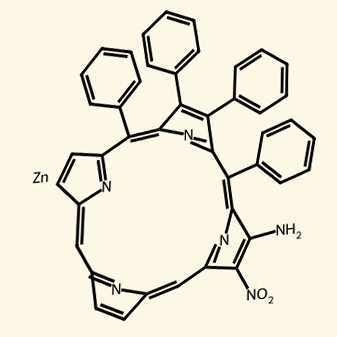 NC1=C([N+](=O)[O-])C2=NC1=C(c1ccccc1)C1=NC(=C(c3ccccc3)C3=NC(=CC4=NC(=C2)C=C4)C=C3)C(c2ccccc2)=C1c1ccccc1.[Zn]